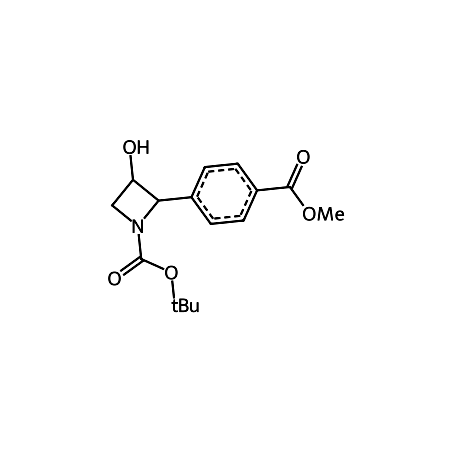 COC(=O)c1ccc(C2C(O)CN2C(=O)OC(C)(C)C)cc1